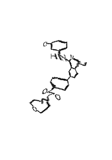 O=S(=O)(c1ccc(-c2ccc3ncnc(Nc4cccc(Cl)c4)c3c2)cc1)N1CCOCC1